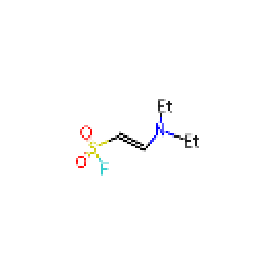 CCN(/C=C/S(=O)(=O)F)CC